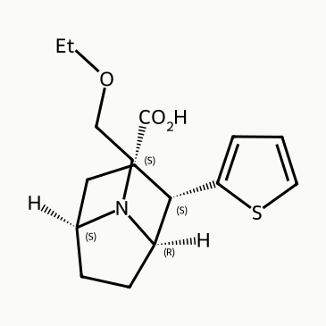 CCOCCN1[C@H]2CC[C@@H]1[C@@H](c1cccs1)[C@@H](C(=O)O)C2